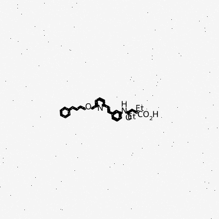 CCC(CC)(CC(=O)Nc1cccc(/C=C/c2cccc(COCCCCC3CCCCC3)n2)c1)C(=O)O